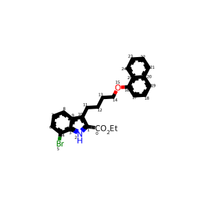 CCOC(=O)c1[nH]c2c(Br)cccc2c1CCCCOc1cccc2ccccc12